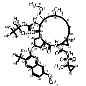 COC[C@@H]1C[C@@H](C)CCCC[C@H]2C[C@@]2(C(=O)NS(=O)(=O)C2(C)CC2)NC(=O)[C@@H]2C[C@@H](Oc3nc4cc(OC)ccc4nc3C(F)(F)F)CN2C(=O)[C@H]1NC(=O)OC(C)(C)C(F)(F)F